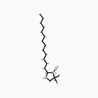 CCCCCCCCCCCCCC1OCC(C)(C)N1[O]